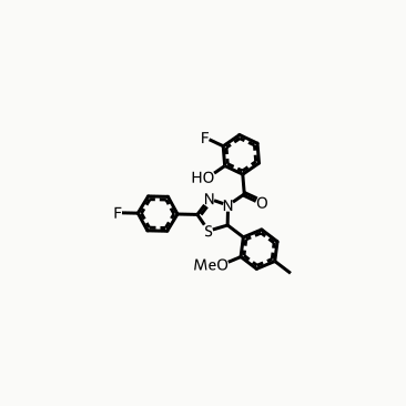 COc1cc(C)ccc1C1SC(c2ccc(F)cc2)=NN1C(=O)c1cccc(F)c1O